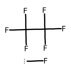 FC(F)(F)C(F)(F)F.[C]F